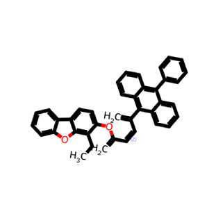 C=C(/C=C\C(=C)c1c2ccccc2c(-c2ccccc2)c2ccccc12)Oc1ccc2c(oc3ccccc32)c1CC